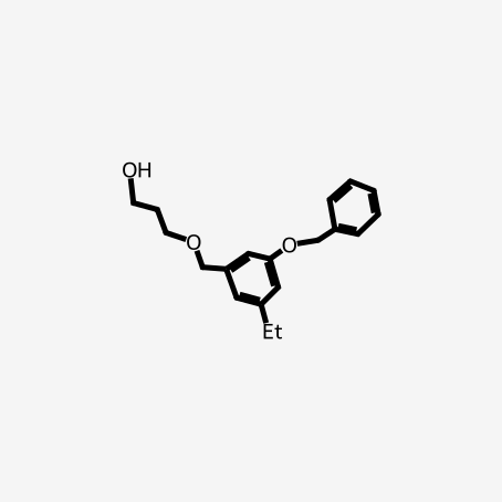 CCc1cc(COCCCO)cc(OCc2ccccc2)c1